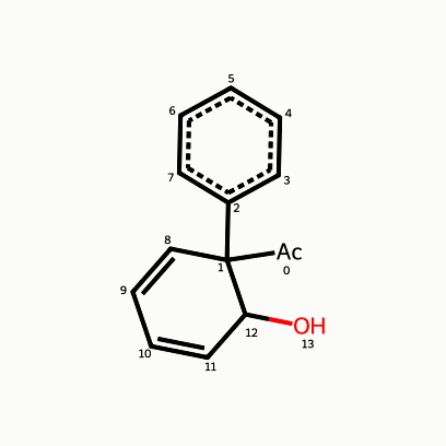 CC(=O)C1(c2ccccc2)C=CC=CC1O